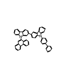 c1ccc(-c2ccc(-n3c4ccccc4c4cc(-c5ccc6c7ccccc7n(-c7cc8ccccc8c8ccccc78)c6c5)ccc43)cc2)cc1